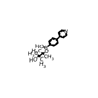 CC(C)(O)C(C)(C)OB(O)c1ccc(-c2ccncc2)cc1